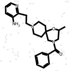 CC1CN(C(=O)c2ccccc2)CC2(CCN(CCc3ncccc3N)CC2)O1